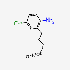 CCCCCCCCCCc1cc(F)ccc1N